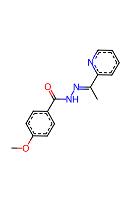 COc1ccc(C(=O)N/N=C(\C)c2ccccn2)cc1